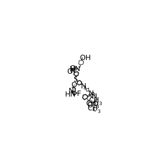 COc1cc(CN2CCN(C3CC4(C3)CN(c3ccc(Sc5ccc(NCC6CCC(O)CC6)c([N+](=O)[O-])c5)c(Oc5cnc6[nH]cc(F)c6c5)c3)C4)[C@H](c3ccccc3C(C)C)C2)ccc1C1CC1